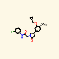 COc1ccc(C2CC(=O)N(CC(=O)Nc3cccc(F)c3)C2)cc1OCC1CC1